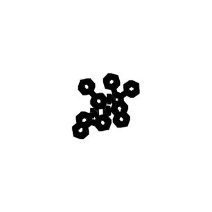 c1ccc(-c2cc3c4c(c2)-n2c5ccc6ccccc6c5c5cccc(c52)B4c2c4ccccc4cc4c(-c5ccccc5)c(-c5ccccc5)n-3c24)cc1